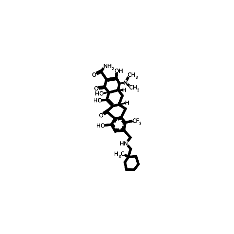 CN(C)[C@@H]1C(O)=C(C(N)=O)C(=O)[C@@]2(O)C(O)=C3C(=O)c4c(O)cc(CNCC5(C)CCCCC5)c(C(F)(F)F)c4C[C@H]3C[C@@H]12